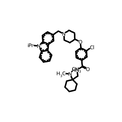 CC(C)n1c2ccccc2c2cc(CN3CCC(Oc4ccc(C(=O)NCC5(N(C)C)CCCCC5)cc4Cl)CC3)ccc21